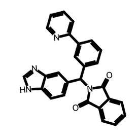 O=C1c2ccccc2C(=O)N1C(c1cccc(-c2ccccn2)c1)c1ccc2[nH]cnc2c1